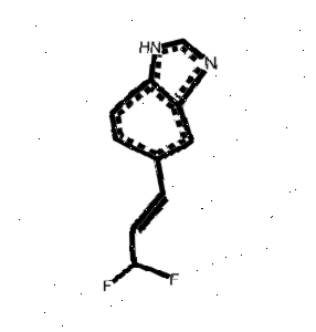 FC(F)/C=C/c1ccc2[nH]cnc2c1